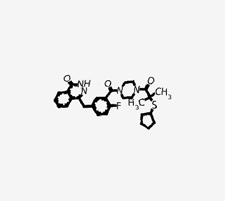 CC(C)(SC1CCCC1)C(=O)N1CCN(C(=O)c2cc(Cc3n[nH]c(=O)c4ccccc34)ccc2F)CC1